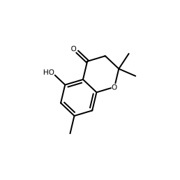 Cc1cc(O)c2c(c1)OC(C)(C)CC2=O